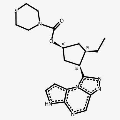 CC[C@@H]1C[C@H](OC(=O)N2CCSCC2)C[C@@H]1c1nnc2cnc3[nH]ccc3n12